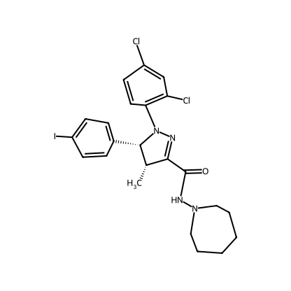 C[C@H]1C(C(=O)NN2CCCCCC2)=NN(c2ccc(Cl)cc2Cl)[C@H]1c1ccc(I)cc1